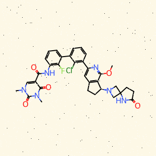 COc1nc(-c2cccc(-c3cccc(NC(=O)c4cn(C)c(=O)n(C)c4=O)c3F)c2Cl)cc2c1[C@@H](N1CC3(CCC(=O)N3)C1)CC2